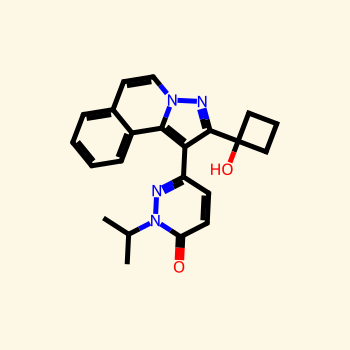 CC(C)n1nc(-c2c(C3(O)CCC3)nn3ccc4ccccc4c23)ccc1=O